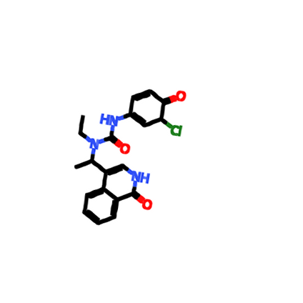 CCN(C(=O)NC1=CC(Cl)C(=O)C=C1)C(C)c1c[nH]c(=O)c2ccccc12